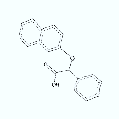 O=C(O)C(Oc1ccc2ccccc2c1)c1ccccc1